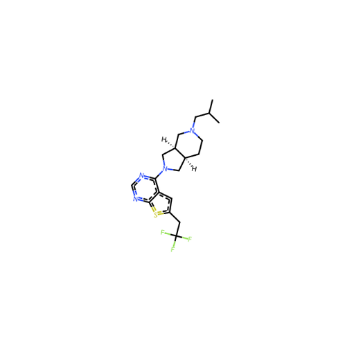 CC(C)CN1CC[C@H]2CN(c3ncnc4sc(CC(F)(F)F)cc34)C[C@H]2C1